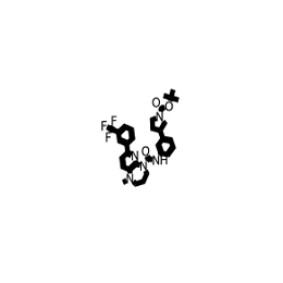 CN1CCCN(C(=O)Nc2cccc(C3CCN(C(=O)OC(C)(C)C)C3)c2)c2nc(-c3cccc(C(F)(F)F)c3)ccc21